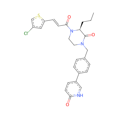 CCC[C@H]1C(=O)N(Cc2ccc(-c3ccc(=O)[nH]c3)cc2)CCN1C(=O)C=Cc1cc(Cl)cs1